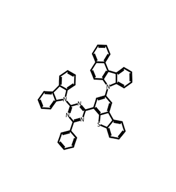 c1ccc(-c2nc(-c3cc(-n4c5ccccc5c5c6ccccc6ccc54)cc4c3sc3ccccc34)nc(-n3c4ccccc4c4ccccc43)n2)cc1